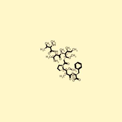 CC[C@H](C)[C@@H]([C@@H](CC(=O)N1CCC[C@H]1[C@H](OC)[C@@H](C)C(=O)N[C@@H](Cc1ccccc1)C(=O)O)OC)N(C)C(=O)[C@@H](NC(=O)C(NC)C(C)C)[C@H](C)N